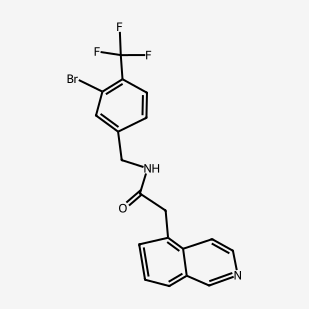 O=C(Cc1cccc2cnccc12)NCc1ccc(C(F)(F)F)c(Br)c1